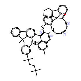 C=C1/C=C\C=C/CN2C(=C/C)/C(=C(/c3ccc4c(c3Nc3cccc(C(C)(C)CCC(C)(C)C)c3)C(C)(C)c3ccccc3-4)c3c(C)cc(C)cc3C)Sc3cccc(c32)C12C1=C(CCC=C1)c1ccccc12